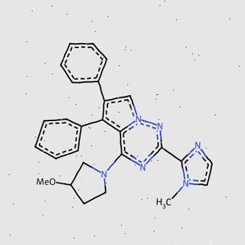 COC1CCN(c2nc(-c3nccn3C)nn3cc(-c4ccccc4)c(-c4ccccc4)c23)C1